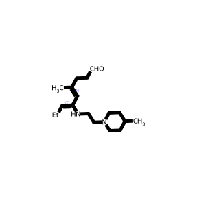 CC/C=C(/C=C(\C)CCC=O)NCCN1CCC(C)CC1